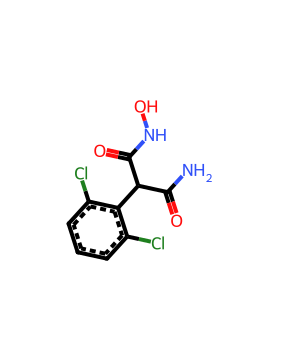 NC(=O)C(C(=O)NO)c1c(Cl)cccc1Cl